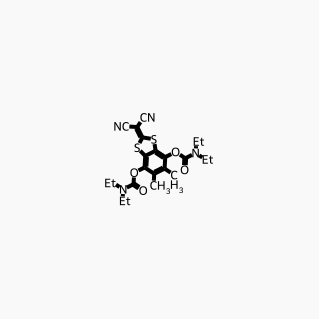 CCN(CC)C(=O)Oc1c(C)c(C)c(OC(=O)N(CC)CC)c2c1SC(=C(C#N)C#N)S2